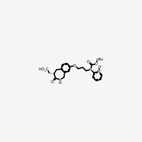 CCCCOC(=O)N(CCCOc1ccc2c(c1)CNC(=O)[C@H](CC(=O)O)C2)c1cccc[n+]1[O-]